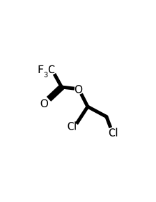 O=C(OC(Cl)CCl)C(F)(F)F